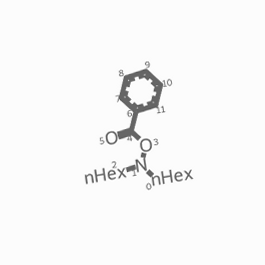 CCCCCCN(CCCCCC)OC(=O)c1ccccc1